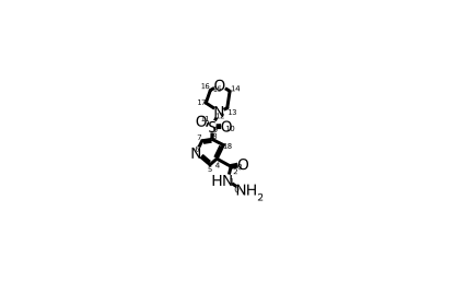 NNC(=O)c1cncc(S(=O)(=O)N2CCOCC2)c1